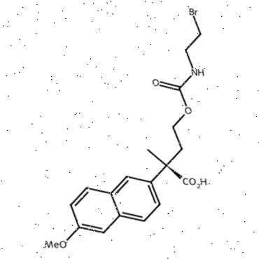 COc1ccc2cc([C@](C)(CCOC(=O)NCCBr)C(=O)O)ccc2c1